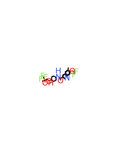 Cc1cc2cc(C(=O)NC3CCC(OCC(C)(O)C(F)(F)F)CC3)cnc2cc1OC(F)F